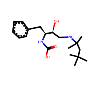 CC(C)(C)CC(C)(C)NC[C@H](O)[C@H](Cc1ccccc1)NC(=O)O